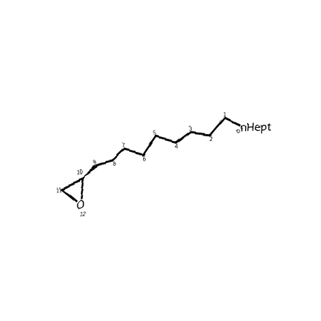 CCCCCCCCCCCCCCCC[C@@H]1CO1